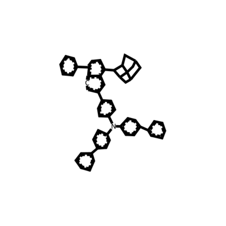 c1ccc(-c2ccc(N(c3ccc(-c4ccccc4)cc3)c3ccc(-c4ccc5c(-c6ccccc6)ccc(C6C7CC8CC9CC6C97C8)c5c4)cc3)cc2)cc1